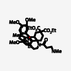 CCOC(=O)C1(C(=O)OCC)CCC2(c3cc(OC)c(OC)cc3CCN2C(=O)CCNC)C(C2c3cc(OC)c(OC)cc3CCN2CC)C1